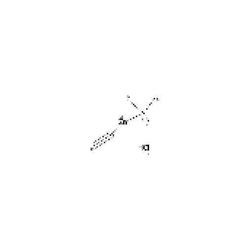 C#[C][Zn][Si](C)(C)C.Cl